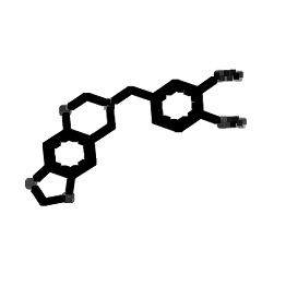 COc1ccc(CN2COc3cc4c(cc3C2)OCO4)cc1OC